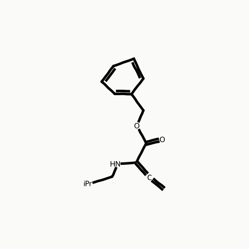 C=C=C(NCC(C)C)C(=O)OCc1ccccc1